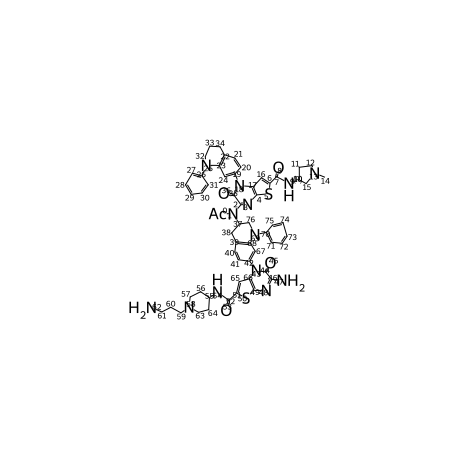 CC(=O)N(c1nc2sc(C(=O)N[C@@H]3CCN(C)C3)cc2n(-c2ccc3c(c2)N(c2ccccc2)CCC3)c1=O)C1Cc2ccc(-n3c(=O)c(N)nc4sc(C(=O)NC5CCN(CCCN)CC5)cc43)cc2N(c2ccccc2)C1